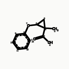 CC1(C(=O)O)CC1Oc1ccccc1